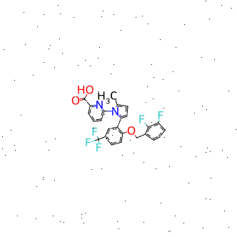 Cc1ccc(-c2cc(C(F)(F)F)ccc2OCc2cccc(F)c2F)n1-c1cccc(C(=O)O)n1